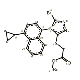 CC(C)(C)OC(=O)CSc1nnc(Br)n1-c1ccc(C2CC2)c2ccccc12